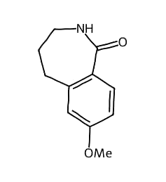 COc1ccc2c(c1)CCCNC2=O